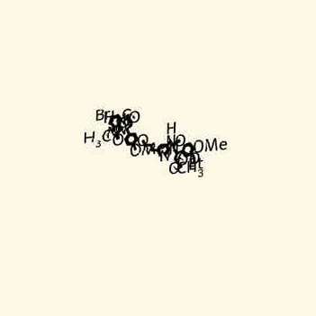 CCOc1cc(C(CS(C)(=O)=O)n2c(=O)[nH]c3cc(CCCOc4cc(C(CS(C)(=O)=O)n5c(=O)n(C)c6cc(Br)cnc65)ccc4OC)cnc32)ccc1OC